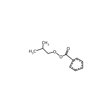 CC(C)COOC(=O)c1ccccc1